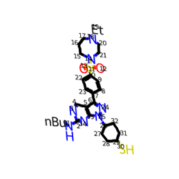 CCCCNc1ncc2c(-c3ccc(S(=O)(=O)N4CCCN(CC)CC4)cc3)nn(C3CCC(S)CC3)c2n1